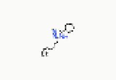 CC\C=C/C=C\C=C\C1=NN(C)CC(C2=CC=CCC=C2)N1